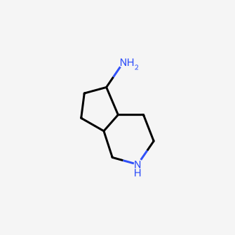 NC1CCC2CNCCC12